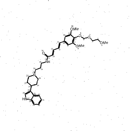 COCCOCOc1c(OC)cc(/C=C/C=C/C(=O)NCCCN2CCC(c3c[nH]c4ccccc34)CC2)cc1OC